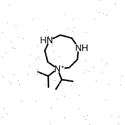 CC(C)[N+]1(C(C)C)CCNCCNCC1